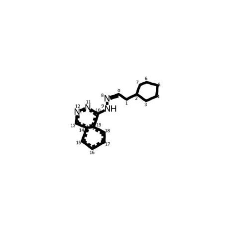 C(/CC1CCCCC1)=N/Nc1nncc2ccccc12